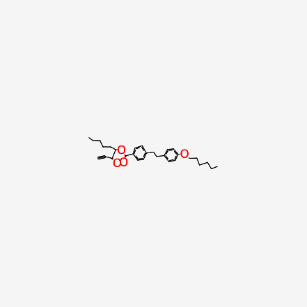 C#CC(=O)C(CCCCC)OC(=O)c1ccc(CCc2ccc(OCCCCCC)cc2)cc1